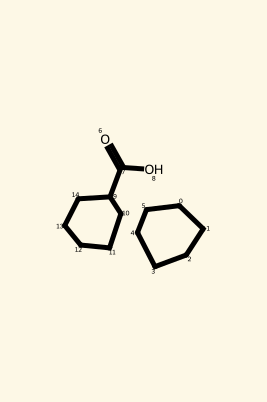 C1CCCCC1.O=C(O)C1CCCCC1